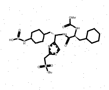 COC(=O)N[C@@H](CC1CCCCC1)C(=O)N[C@@H](CC1CCC(NS(=O)O)CC1)c1csc(CS(=O)(=O)C(C)(C)C)n1